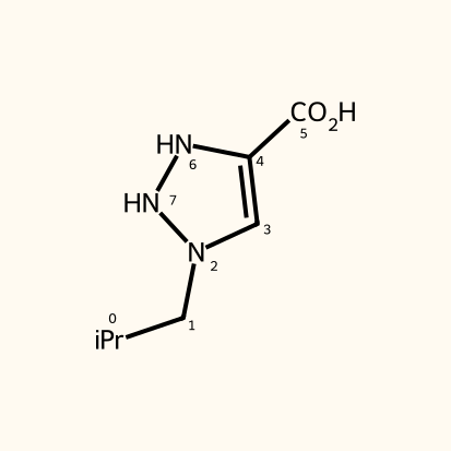 CC(C)CN1C=C(C(=O)O)NN1